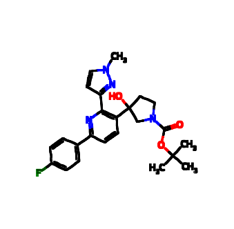 Cn1ccc(-c2nc(-c3ccc(F)cc3)ccc2C2(O)CCN(C(=O)OC(C)(C)C)C2)n1